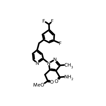 COC(=O)Cc1c(C(N)=O)c(C)nn1-c1cc(Cc2cc(F)cc(C(F)F)c2)ccn1